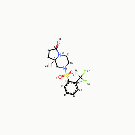 O=C1CC[C@@H]2CN(S(=O)(=O)c3ccccc3C(F)(F)F)CCN12